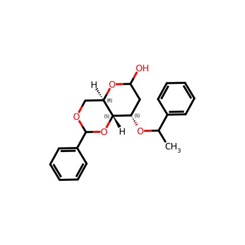 CC(O[C@H]1CC(O)O[C@@H]2COC(c3ccccc3)O[C@@H]12)c1ccccc1